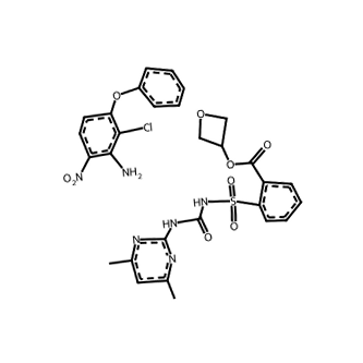 Cc1cc(C)nc(NC(=O)NS(=O)(=O)c2ccccc2C(=O)OC2COC2)n1.Nc1c([N+](=O)[O-])ccc(Oc2ccccc2)c1Cl